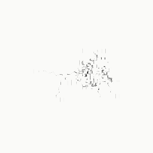 CCCCCC[N+](C)(CCCCCC)CCC[Si](C)(O[Si](C)(C)O[Si](C)(C)O[Si](C)(C)CCCC)O[Si](C)(C)O[Si](C)(O[Si](C)(C)O[Si](C)(C)C)O[Si](C)(C)O[Si](C)(C)O[Si](C)(C)CCCC